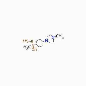 CN1CCN(C2CCC(S(C)(S)SS)CC2)CC1